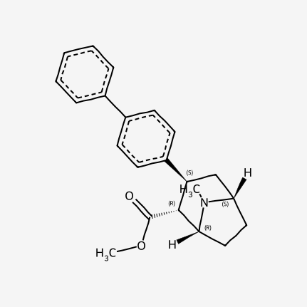 COC(=O)[C@@H]1[C@@H](c2ccc(-c3ccccc3)cc2)C[C@@H]2CC[C@H]1N2C